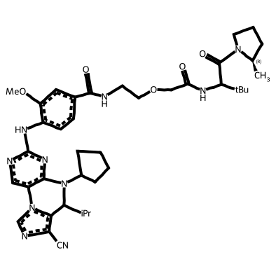 COc1cc(C(=O)NCCOCC(=O)NC(C(=O)N2CCC[C@H]2C)C(C)(C)C)ccc1Nc1ncc2c(n1)N(C1CCCC1)C(C(C)C)c1c(C#N)ncn1-2